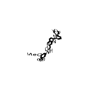 COc1cc(NC(=O)Cc2cc3nc(-c4cccc(N5C[C@@H](C)O[C@@H](C)C5)n4)ccc3cn2)cc(S(C)(=O)=O)c1